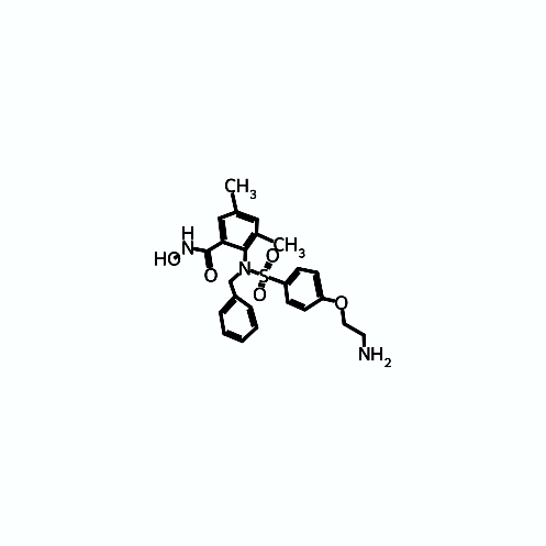 Cc1cc(C)c(N(Cc2ccccc2)S(=O)(=O)c2ccc(OCCN)cc2)c(C(=O)NO)c1